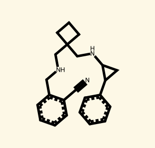 N#Cc1ccccc1CNCC1(CNC2CC2c2ccccc2)CCC1